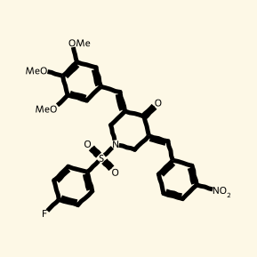 COc1cc(C=C2CN(S(=O)(=O)c3ccc(F)cc3)CC(=Cc3cccc([N+](=O)[O-])c3)C2=O)cc(OC)c1OC